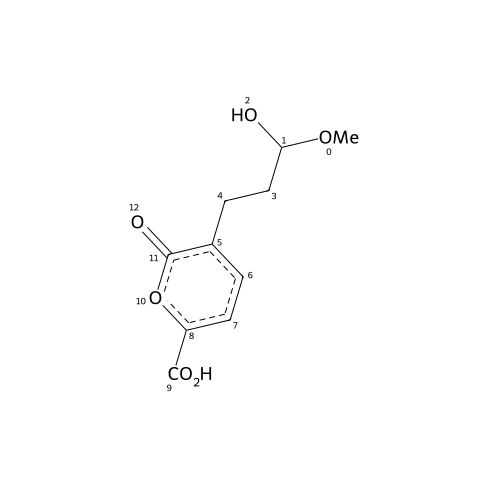 COC(O)CCc1ccc(C(=O)O)oc1=O